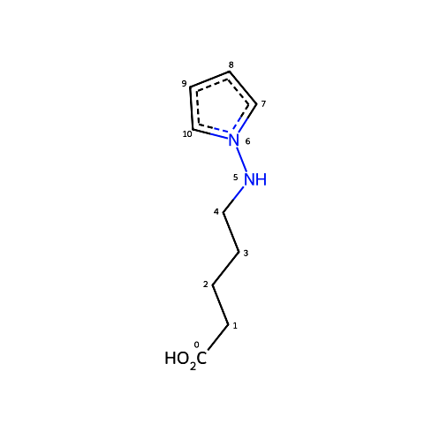 O=C(O)CCCCNn1cccc1